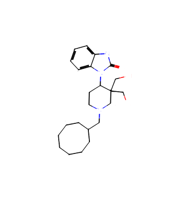 Cl.O=c1[nH]c2ccccc2n1C1CCN(CC2CCCCCCC2)CC1(CO)CO